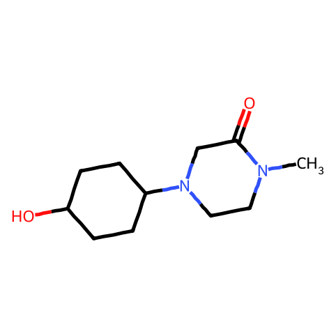 CN1CCN(C2CCC(O)CC2)CC1=O